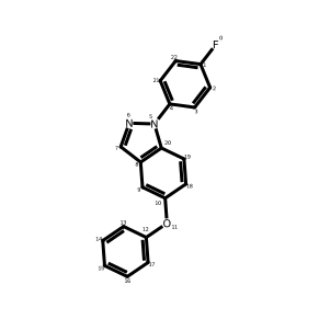 Fc1ccc(-n2ncc3cc(Oc4[c]cccc4)ccc32)cc1